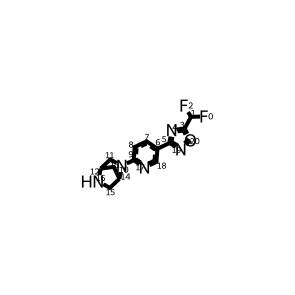 FC(F)c1nc(-c2ccc(N3CC4CC3CN4)nc2)no1